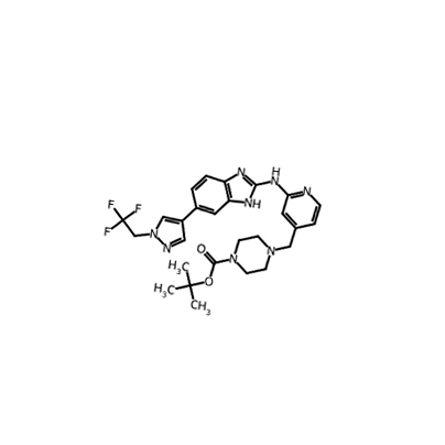 CC(C)(C)OC(=O)N1CCN(Cc2ccnc(Nc3nc4ccc(-c5cnn(CC(F)(F)F)c5)cc4[nH]3)c2)CC1